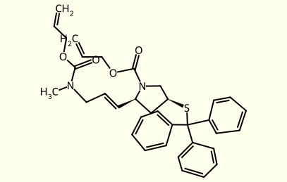 C=CCOC(=O)N(C)CC=C[C@@H]1C[C@H](SC(c2ccccc2)(c2ccccc2)c2ccccc2)CN1C(=O)OCC=C